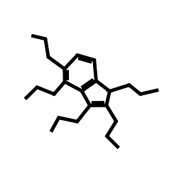 CCC[C]1C(CCC)=C(CCC)c2c1ccc(CCC)c2CCC